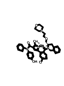 Cc1c(C(=O)N(c2ccccc2)c2ccc(O)cc2)cc(-c2cc(Cl)ccc2C(=O)N2Cc3ccccc3C[C@H]2COCCN2CCOCC2)n1C